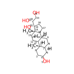 C[C@]12CC[C@H](O)C[C@@H]1CC[C@@H]1[C@@H]2CC[C@@]2(C)[C@H]1CC[C@]2(O)[C@H](O)CO